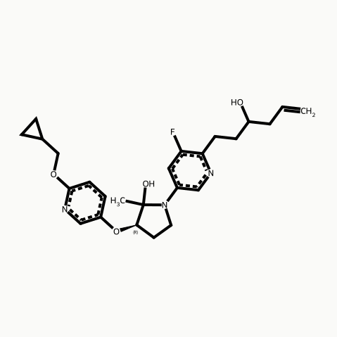 C=CCC(O)CCc1ncc(N2CC[C@@H](Oc3ccc(OCC4CC4)nc3)C2(C)O)cc1F